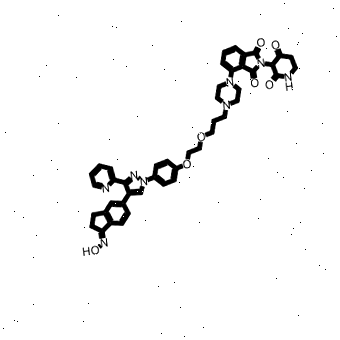 O=C1CCNC(=O)C1N1C(=O)c2cccc(N3CCN(CCCOCCOc4ccc(-n5cc(-c6ccc7c(c6)CCC7=NO)c(-c6ccccn6)n5)cc4)CC3)c2C1=O